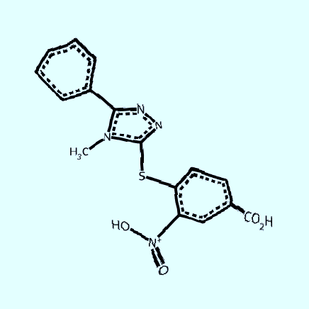 Cn1c(Sc2ccc(C(=O)O)cc2[N+](=O)O)nnc1-c1ccccc1